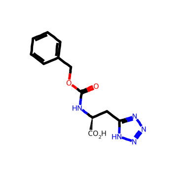 O=C(N[C@@H](Cc1nnn[nH]1)C(=O)O)OCc1ccccc1